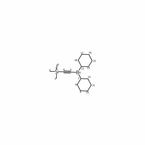 C[Si](C)(C)C#CB(C1CCCCC1)C1CCCCC1